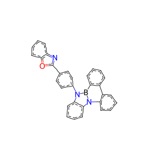 c1ccc2c(c1)B1N(c3ccc(-c4nc5ccccc5o4)cc3)c3ccccc3N1c1ccccc1-2